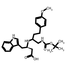 COc1ccc(CCC(CNC(=O)OC(C)(C)C)N[C@@H](CC(=O)O)Cc2c[nH]c3ccccc23)cc1